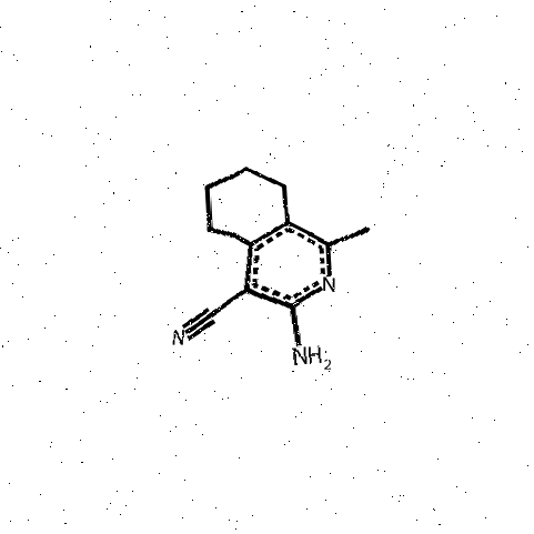 Cc1nc(N)c(C#N)c2c1CCCC2